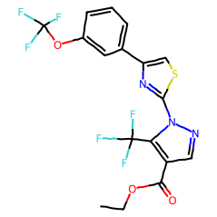 CCOC(=O)c1cnn(-c2nc(-c3cccc(OC(F)(F)F)c3)cs2)c1C(F)(F)F